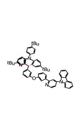 CC(C)(C)c1ccc(N(c2ccc(C(C)(C)C)cc2)c2ccc(C(C)(C)C)cc2[C@H](c2cccc(Oc3cccc(-c4cc(-n5c6ccccc6c6ccccc65)ccn4)c3)c2)c2ccccn2)cc1